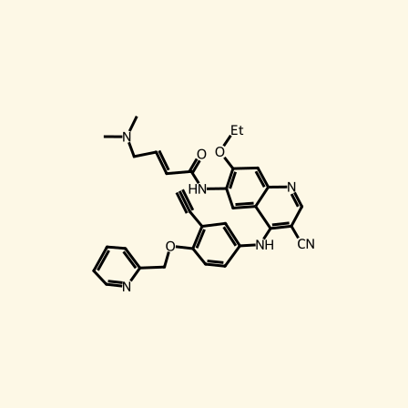 C#Cc1cc(Nc2c(C#N)cnc3cc(OCC)c(NC(=O)/C=C/CN(C)C)cc23)ccc1OCc1ccccn1